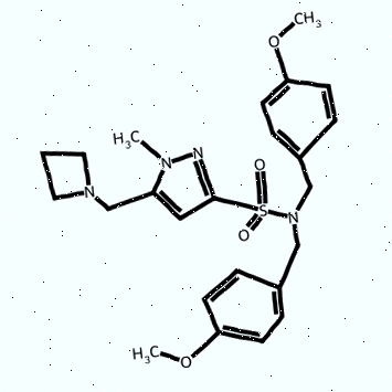 COc1ccc(CN(Cc2ccc(OC)cc2)S(=O)(=O)c2cc(CN3CCC3)n(C)n2)cc1